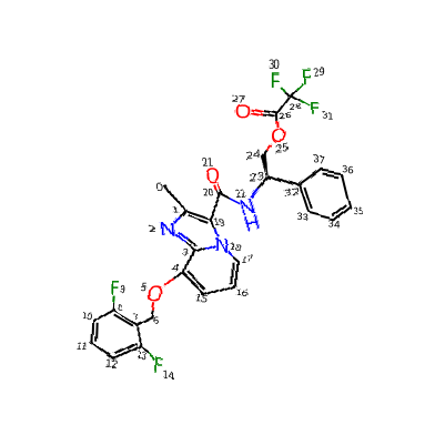 Cc1nc2c(OCc3c(F)cccc3F)cccn2c1C(=O)N[C@@H](COC(=O)C(F)(F)F)c1ccccc1